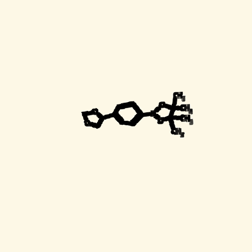 CC1(C)OB(c2ccc(C3COCO3)cc2)OC1(C)C